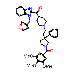 COc1cc(C(=O)N2CCC(CCN3CCC(C(=O)c4nc5ccccc5n4Cc4ccoc4)CC3)(c3ccccc3)C2)cc(OC)c1OC